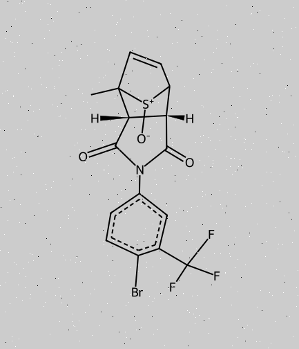 CC12C=CC([C@@H]3C(=O)N(c4ccc(Br)c(C(F)(F)F)c4)C(=O)[C@@H]31)[S+]2[O-]